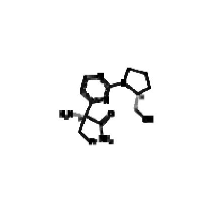 CC(C)C[C@](N)(C(N)=O)c1ccnc(N2CCC[C@@H]2CO)n1